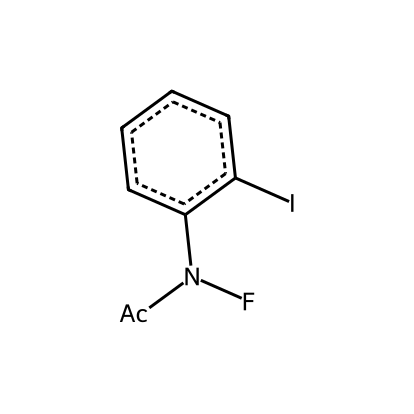 CC(=O)N(F)c1ccccc1I